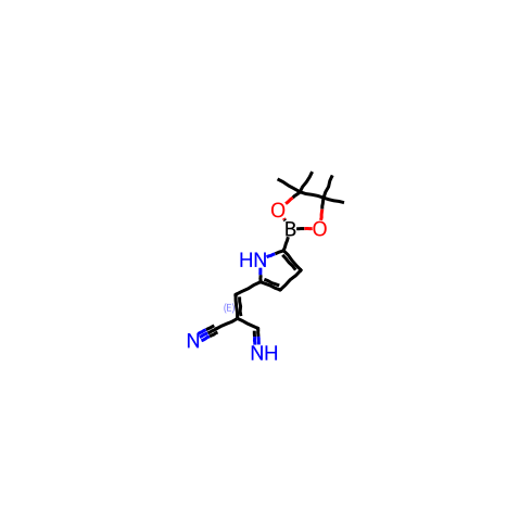 CC1(C)OB(c2ccc(/C=C(/C#N)C=N)[nH]2)OC1(C)C